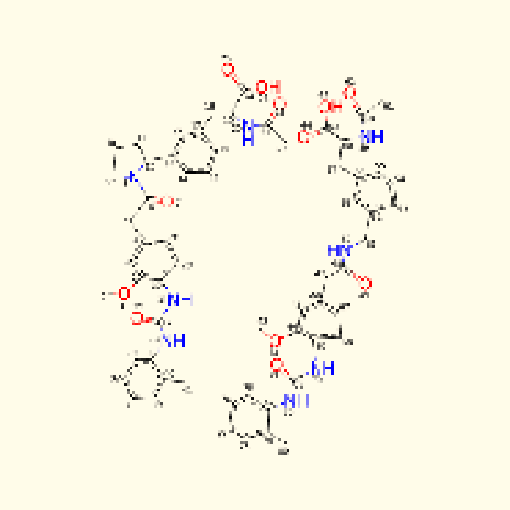 COc1cc(CC(=O)N2CCCC2c2cccc(CC(NC(C)=O)C(=O)O)c2)ccc1NC(=O)Nc1ccccc1C.COc1cc(CC(=O)NCc2cccc(CC(NC(C)=O)C(=O)O)c2)ccc1NC(=O)Nc1ccccc1C